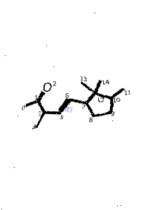 CC(=O)C(C)/C=C/C1CCC(C)C1(C)C